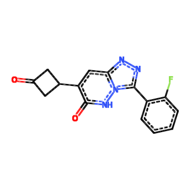 O=C1CC(c2cc3nnc(-c4ccccc4F)n3[nH]c2=O)C1